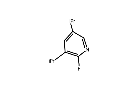 CC(C)c1cnc(F)c(C(C)C)c1